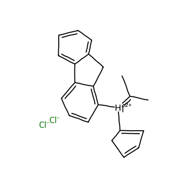 C[C](C)=[Hf+2]([C]1=CC=CC1)[c]1cccc2c1Cc1ccccc1-2.[Cl-].[Cl-]